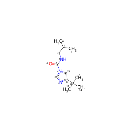 CC(C)CNC(=O)n1cnc(C(C)(C)C)c1